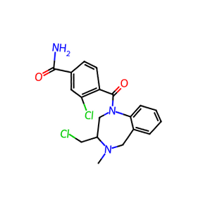 CN1Cc2ccccc2N(C(=O)c2ccc(C(N)=O)cc2Cl)CC1CCl